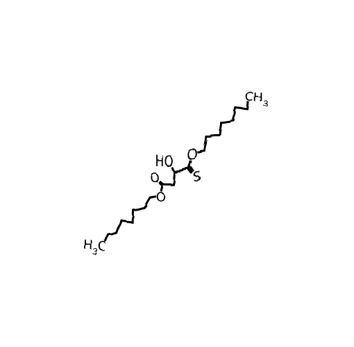 CCCCCCCCOC(=O)CC(O)C(=S)OCCCCCCCC